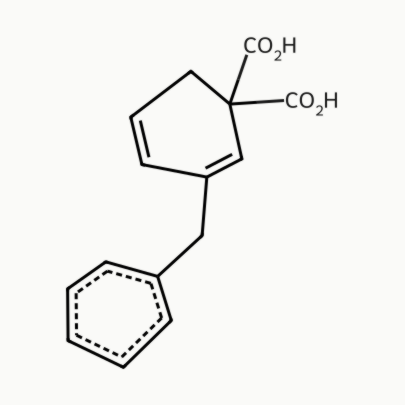 O=C(O)C1(C(=O)O)C=C(Cc2ccccc2)C=CC1